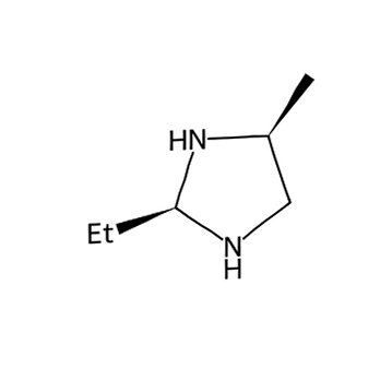 CC[C@@H]1NC[C@H](C)N1